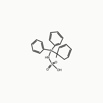 CC1([N+](NS(=O)(=O)O)(c2ccccc2)c2ccccc2)C=CC=CC1